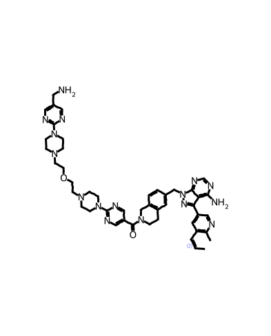 C/C=C\c1cc(-c2nn(Cc3ccc4c(c3)CCN(C(=O)c3cnc(N5CCN(CCOCCN6CCN(c7ncc(CN)cn7)CC6)CC5)nc3)C4)c3ncnc(N)c23)cnc1C